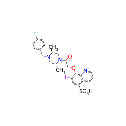 C[C@@H]1CN(Cc2ccc(F)cc2)[C@@H](C)CN1C(=O)COc1c(I)cc(S(=O)(=O)O)c2cccnc12